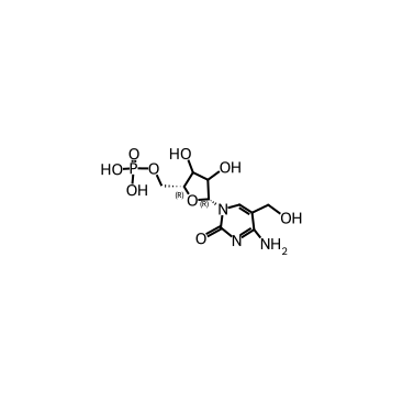 Nc1nc(=O)n([C@@H]2O[C@H](COP(=O)(O)O)C(O)C2O)cc1CO